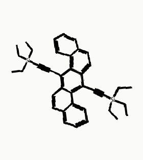 CC[Si](C#Cc1c2ccc3ccccc3c2c(C#C[Si](CC)(CC)CC)c2ccc3ccccc3c12)(CC)CC